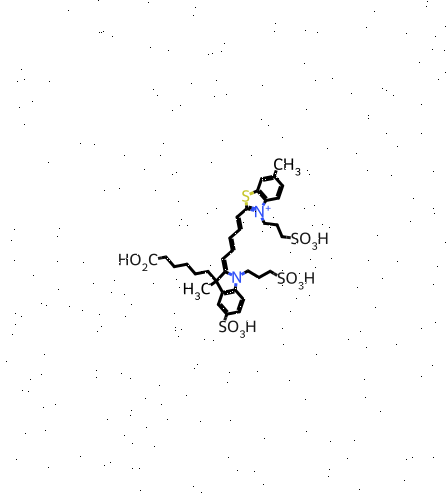 Cc1ccc2c(c1)sc(/C=C/C=C/C=C1\N(CCCS(=O)(=O)O)c3ccc(S(=O)(=O)O)cc3C1(C)CCCCCC(=O)O)[n+]2CCCS(=O)(=O)O